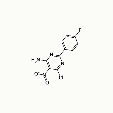 Nc1nc(-c2ccc(F)cc2)nc(Cl)c1[N+](=O)[O-]